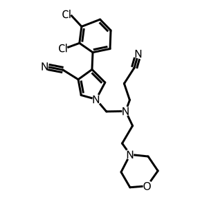 N#CCCN(CCN1CCOCC1)Cn1cc(C#N)c(-c2cccc(Cl)c2Cl)c1